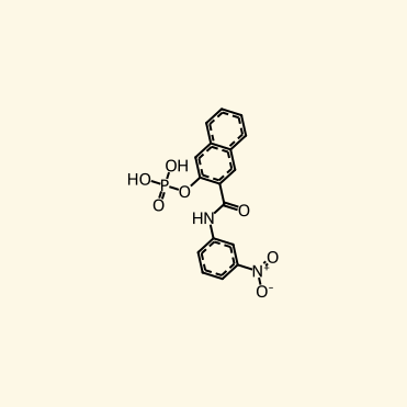 O=C(Nc1cccc([N+](=O)[O-])c1)c1cc2ccccc2cc1OP(=O)(O)O